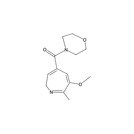 COC1=CC(C(=O)N2CCOCC2)=CCN=C1C